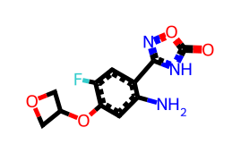 Nc1cc(OC2COC2)c(F)cc1-c1noc(=O)[nH]1